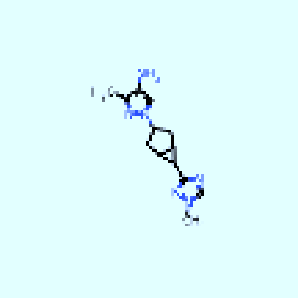 Cc1nn(C2CC3C(C2)C3c2ncn(C)n2)cc1N